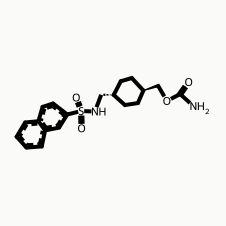 NC(=O)OC[C@H]1CC[C@H](CNS(=O)(=O)c2ccc3ccccc3c2)CC1